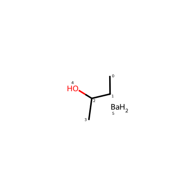 CCC(C)O.[BaH2]